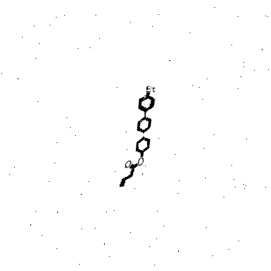 C=CCC(=O)OC1CCC([C@H]2CC[C@H](c3ccc(CC)cc3)CC2)CC1